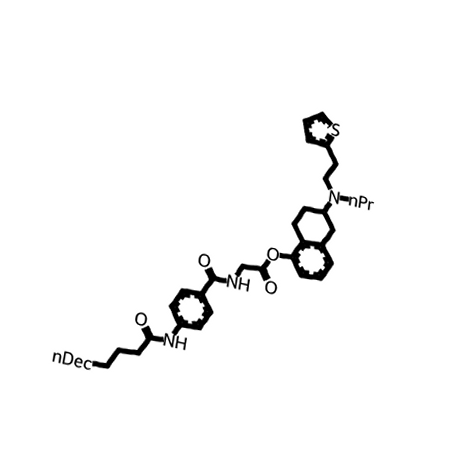 CCCCCCCCCCCCCC(=O)Nc1ccc(C(=O)NCC(=O)Oc2cccc3c2CCC(N(CCC)CCc2cccs2)C3)cc1